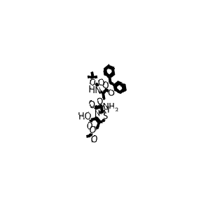 CC(=O)OCC1=C(C(=O)O)N2C(=O)[C@@](N)(OCC(NC(=O)OC(C)(C)C)C(=O)OC(c3ccccc3)c3ccccc3)[C@H]2SC1